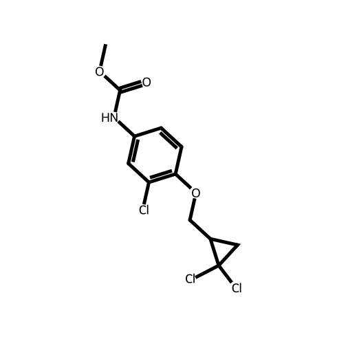 COC(=O)Nc1ccc(OCC2CC2(Cl)Cl)c(Cl)c1